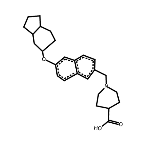 O=C(O)C1CCN(Cc2ccc3cc(OC4CCC5CCCC5C4)ccc3c2)CC1